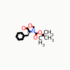 CC(C)(C)OC(=O)N1COC(=O)[C@@H]1Cc1ccccc1